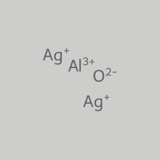 [Ag+].[Ag+].[Al+3].[O-2]